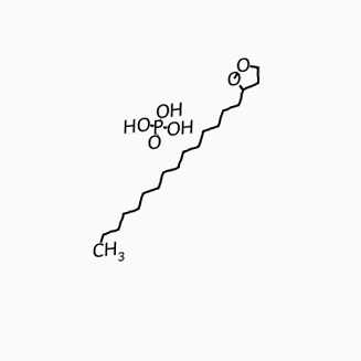 CCCCCCCCCCCCCCCC1CCOO1.O=P(O)(O)O